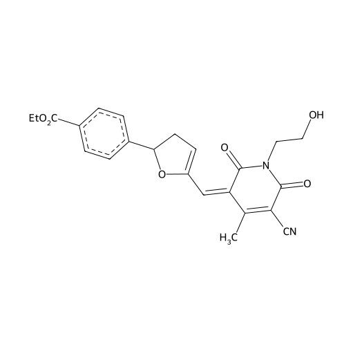 CCOC(=O)c1ccc(C2CC=C(/C=C3\C(=O)N(CCO)C(=O)C(C#N)=C3C)O2)cc1